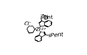 CCCC(C)C1=C[CH]([Zr+2](=[C]2CCCCC2)[CH]2C=C(C(C)CCC)c3ccccc32)c2ccccc21.[Cl-].[Cl-]